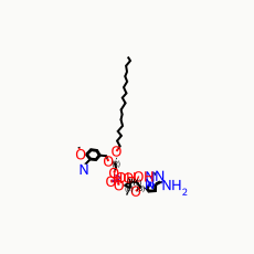 CCCCCCCCCCCCCCCCCCOC[C@H](COP(=O)(O)OC1[C@@]2(C)O[C@@H](c3ccc4c(N)ncnn34)[C@H](O)[C@@]12O)OCc1ccc(OC)c(C#N)c1